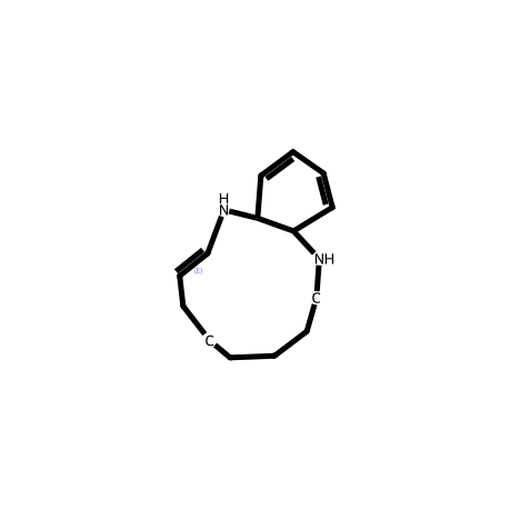 C1=CC2N/C=C/CCCCCCNC2C=C1